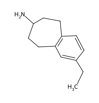 CCc1ccc2c(c1)CCC(N)CC2